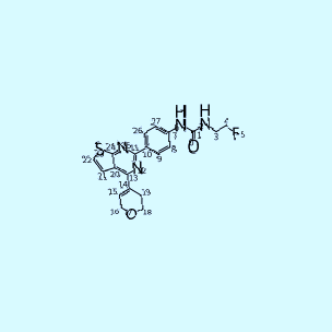 O=C(NCCF)Nc1ccc(-c2nc(C3=CCOCC3)c3ccsc3n2)cc1